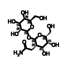 NC(=O)C[C@@H]1[C@@H](O[C@@H]2O[C@H](CO)[C@H](O)[C@H](O)[C@H]2O)O[C@H](CO)[C@H](O)[C@@H]1O